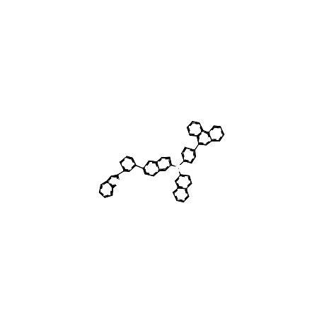 c1cc(-c2ccc3cc(N(c4ccc(-c5cc6ccccc6c6ccccc56)cc4)c4ccc5ccccc5c4)ccc3c2)cc(-c2cc3ccccc3o2)c1